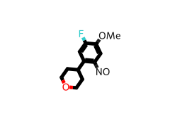 COc1cc(N=O)c(C2CCOCC2)cc1F